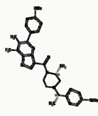 COc1ccc(-c2nc3c(C(=O)N4CCN([C@@H](C)c5ccc(NC(C)=O)cc5)C[C@H]4C)cnn3c(C(F)(F)F)c2C)cc1